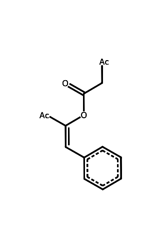 CC(=O)CC(=O)OC(=Cc1ccccc1)C(C)=O